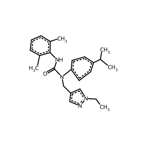 CCn1cc(CN(C(=O)Nc2c(C)cccc2C)c2ccc(C(C)C)cc2)cn1